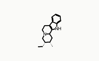 CC[C@@H]1CN2CCc3c([nH]c4ccccc34)C2C[C@@H]1C